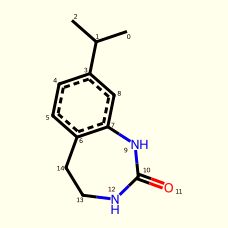 CC(C)c1ccc2c(c1)NC(=O)NCC2